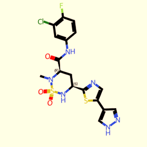 CN1[C@@H](C(=O)Nc2ccc(F)c(Cl)c2)C[C@@H](c2ncc(-c3cn[nH]c3)s2)NS1(=O)=O